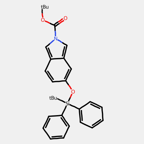 CC(C)(C)OC(=O)n1cc2ccc(O[Si](c3ccccc3)(c3ccccc3)C(C)(C)C)cc2c1